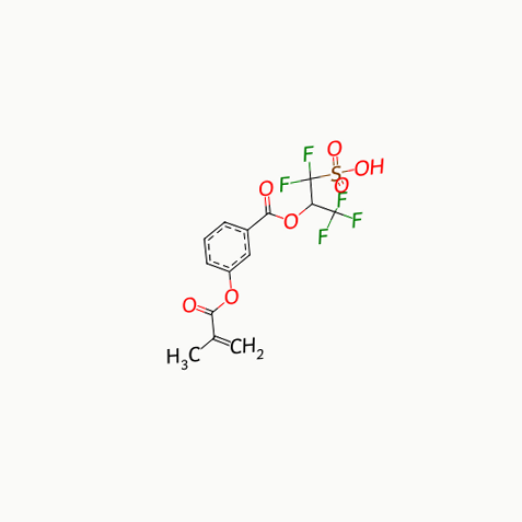 C=C(C)C(=O)Oc1cccc(C(=O)OC(C(F)(F)F)C(F)(F)S(=O)(=O)O)c1